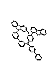 Fc1ccc2c3ccccc3n(-c3cccc(-c4cccc(N(c5ccc(-c6ccccc6)cc5)c5ccc(-c6cccc7c6oc6ccccc67)cc5)c4)c3)c2c1